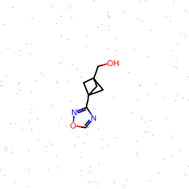 OCC12CC(c3n[c]on3)(C1)C2